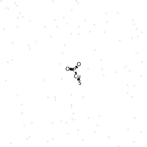 O=[P](=O)[Cu]=[S]